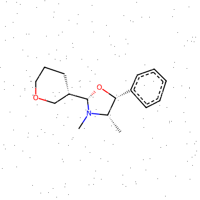 C[C@H]1[C@@H](c2ccccc2)O[C@@H]([C@H]2CCCOC2)N1C